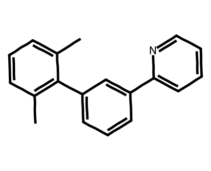 Cc1cccc(C)c1-c1cccc(-c2ccccn2)c1